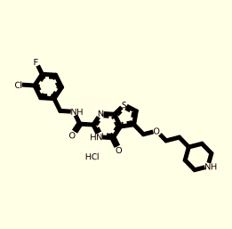 Cl.O=C(NCc1ccc(F)c(Cl)c1)c1nc2scc(COCCC3CCNCC3)c2c(=O)[nH]1